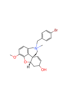 COc1ccc2c3c1O[C@H]1CC(O)C=C[C@@]31CC[N+](C)(Cc1ccc(Br)cc1)C2